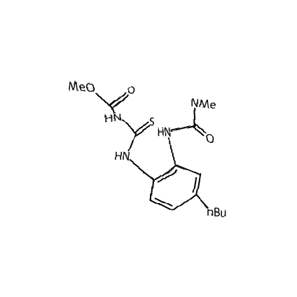 CCCCc1ccc(NC(=S)NC(=O)OC)c(NC(=O)NC)c1